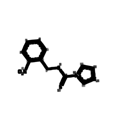 O=[N+]([O-])c1ccccc1CSC(=S)n1ccnc1